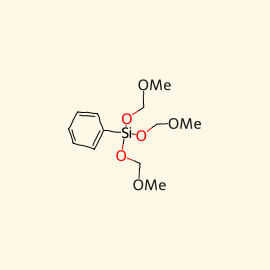 COCO[Si](OCOC)(OCOC)c1ccccc1